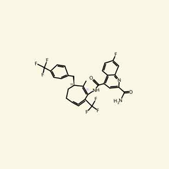 C/C1=C(\NC(=O)c2cc(C(N)=O)nc3cc(F)ccc23)C(C(F)(F)F)=C=CCC[C@H]1Cc1ccc(C(F)(F)F)cc1